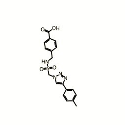 Cc1ccc(-c2cn(CS(=O)(=O)NCc3ccc(C(=O)O)cc3)nn2)cc1